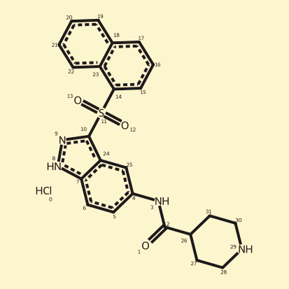 Cl.O=C(Nc1ccc2[nH]nc(S(=O)(=O)c3cccc4ccccc34)c2c1)C1CCNCC1